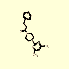 Cc1cc(C)nc(N2CCN(C(=O)CCc3ccccc3)CC2)n1